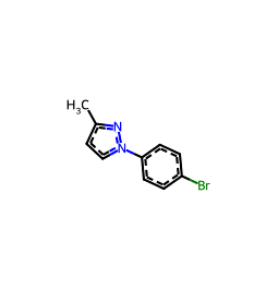 Cc1ccn(-c2ccc(Br)cc2)n1